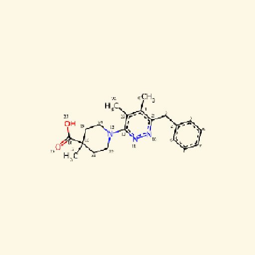 Cc1c(Cc2ccccc2)nnc(N2CCC(C)(C(=O)O)CC2)c1C